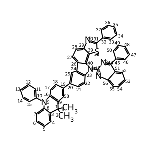 CC1(C)c2ccccc2N(c2ccccc2)c2ccc(-c3ccc4c(c3)c3ccc5nc(-c6ccccc6)sc5c3n4-c3nc(-c4ccccc4)c4ccccc4n3)cc21